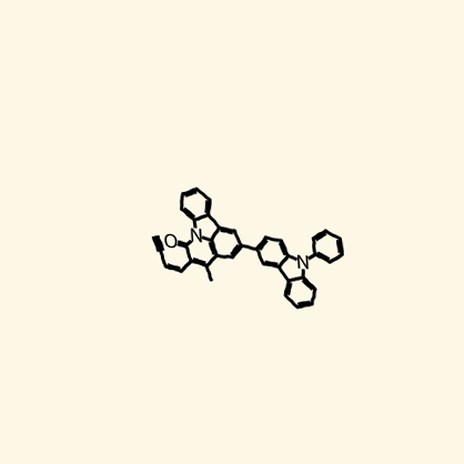 C#C/C=C\c1c(C)c2cc(-c3ccc4c(c3)c3ccccc3n4-c3ccccc3)cc3c4ccccc4n(c1=O)c23